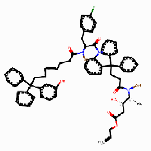 C=CCOC(=O)C[C@H](O)[C@@H](C(C)C)N(S)C(=O)CCC(c1ccccc1)(c1ccccc1)c1ccccc1NC(=O)C(Cc1ccc(F)cc1)N(S)C(=O)CCC=CCCC(c1ccccc1)(c1ccccc1)c1cccc(O)c1